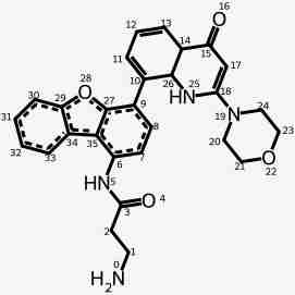 NCCC(=O)Nc1ccc(C2=CC=CC3C(=O)C=C(N4CCOCC4)NC23)c2oc3ccccc3c12